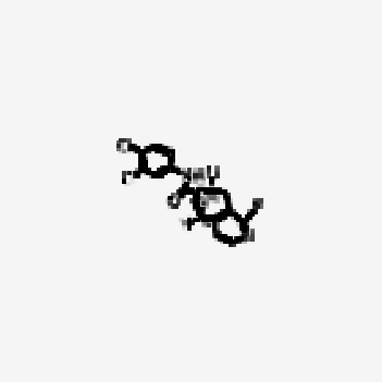 O=C(Nc1ccc(Cl)c(Cl)c1)N1[C@@H]2CC[C@H]1c1ccnc(F)c1C2